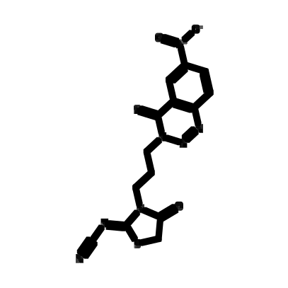 N#C/N=C1\SCC(=O)N1CCCn1nnc2ccc([N+](=O)[O-])cc2c1=S